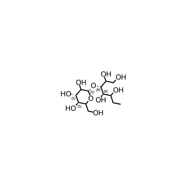 CCC(O)[C@@H](O)[C@H](O[C@@H]1OC(CO)[C@@H](O)[C@H](O)C1O)C(O)CO